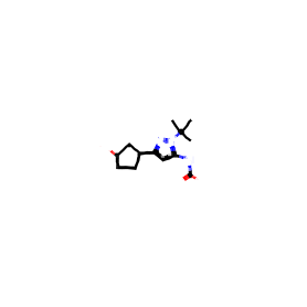 CC(C)(C)n1nc(C2CCC(O)C2)cc1NC(=O)O